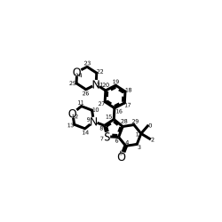 CC1(C)CC(=O)c2sc(N3CCOCC3)c(-c3cccc(N4CCOCC4)c3)c2C1